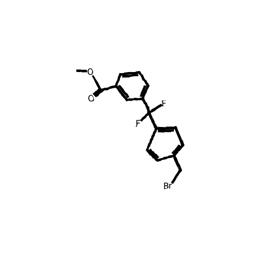 COC(=O)c1cccc(C(F)(F)c2ccc(CBr)cc2)c1